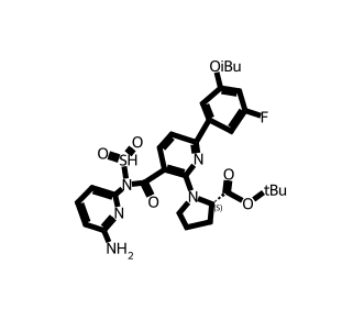 CC(C)COc1cc(F)cc(-c2ccc(C(=O)N(c3cccc(N)n3)[SH](=O)=O)c(N3CCC[C@H]3C(=O)OC(C)(C)C)n2)c1